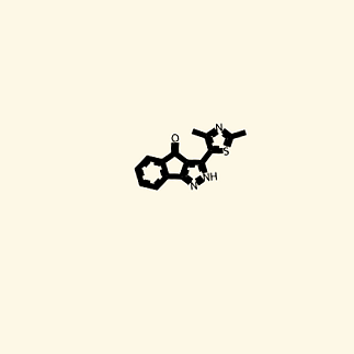 Cc1nc(C)c(-c2[nH]nc3c2C(=O)c2ccccc2-3)s1